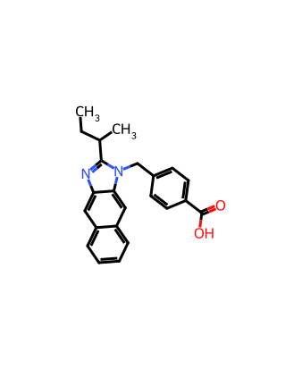 CCC(C)c1nc2cc3ccccc3cc2n1Cc1ccc(C(=O)O)cc1